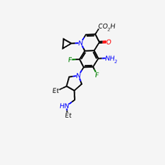 CCNCC1CN(c2c(F)c(N)c3c(=O)c(C(=O)O)cn(C4CC4)c3c2F)CC1CC